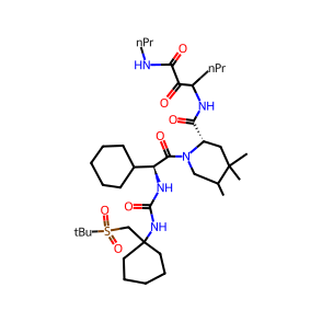 CCCNC(=O)C(=O)C(CCC)NC(=O)[C@@H]1CC(C)(C)C(C)CN1C(=O)[C@@H](NC(=O)NC1(CS(=O)(=O)C(C)(C)C)CCCCC1)C1CCCCC1